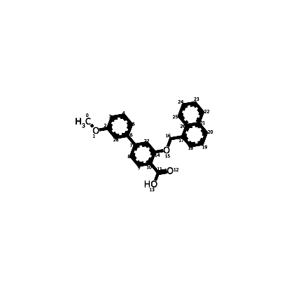 COc1cccc(-c2ccc(C(=O)O)c(OCc3cccc4ccccc34)c2)c1